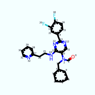 O=CN(Cc1ccccc1)c1cnc(-c2ccc(F)c(F)c2)nc1NCCc1ccccn1